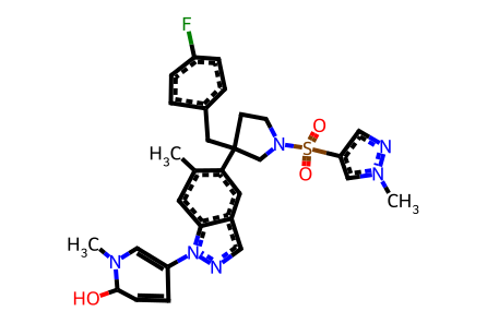 Cc1cc2c(cnn2C2=CN(C)C(O)C=C2)cc1C1(Cc2ccc(F)cc2)CCN(S(=O)(=O)c2cnn(C)c2)C1